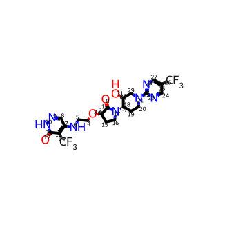 O=C1[C@H](OCCNc2cn[nH]c(=O)c2C(F)(F)F)CCN1[C@H]1CCN(c2ncc(C(F)(F)F)cn2)C[C@H]1O